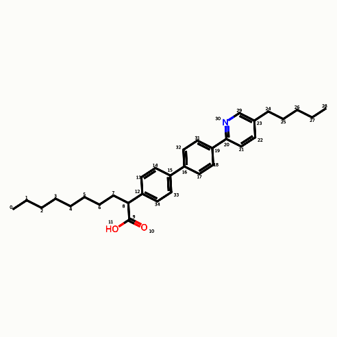 CCCCCCCCC(C(=O)O)c1ccc(-c2ccc(-c3ccc(CCCCC)cn3)cc2)cc1